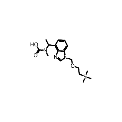 CC(c1cccc2c1ncn2COCC[Si](C)(C)C)N(C)C(=O)O